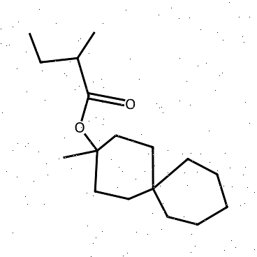 CCC(C)C(=O)OC1(C)CCC2(CCCCC2)CC1